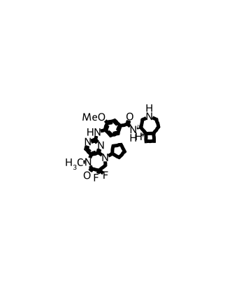 COc1cc(C(=O)N[C@@H]2CNCCC3CC[C@H]32)ccc1Nc1ncc2c(n1)N(C1CCCC1)CC(F)(F)C(=O)N2C